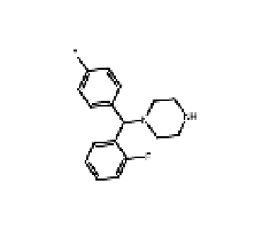 Fc1ccc(C(c2ccccc2F)N2CCNCC2)cc1